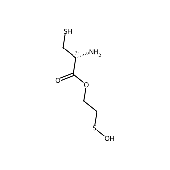 N[C@@H](CS)C(=O)OCCSO